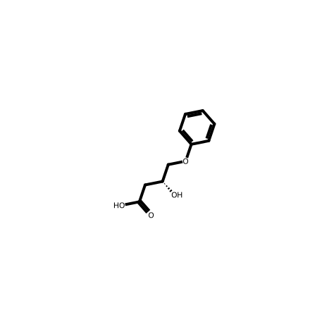 O=C(O)C[C@@H](O)COc1ccccc1